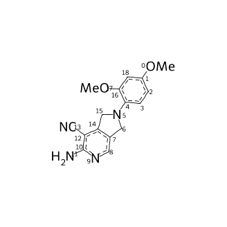 COc1ccc(N2Cc3cnc(N)c(C#N)c3C2)c(OC)c1